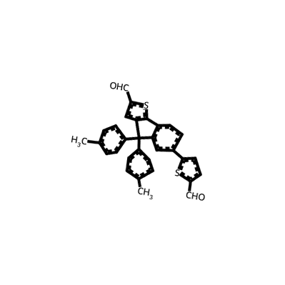 Cc1ccc(C2(c3ccc(C)cc3)c3cc(-c4ccc(C=O)s4)ccc3-c3sc(C=O)cc32)cc1